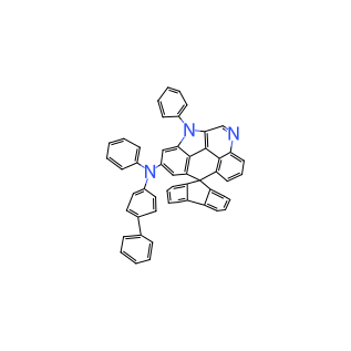 c1ccc(-c2ccc(N(c3ccccc3)c3cc4c5c6c7c(cccc7ncc6n(-c6ccccc6)c5c3)C43c4ccccc4-c4ccccc43)cc2)cc1